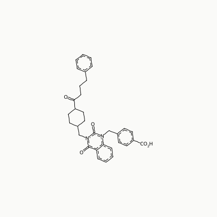 O=C(O)c1ccc(Cn2c(=O)n(CC3CCC(C(=O)CCCc4ccccc4)CC3)c(=O)c3ccccc32)cc1